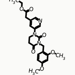 CCOC(=O)Cc1cncc(N2CCC(=O)N(Cc3ccc(OC)cc3OC)C2=O)c1